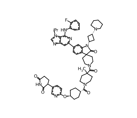 CC(C)n1cnc2cc(-c3ccc4c(c3)N([C@H]3C[C@@H](N5CCCCC5)C3)C(=O)C43CCN(C(=O)C4(C)CCN(C(=O)[C@H]5CC[C@H](Oc6ccc(C7CCC(=O)NC7=O)cn6)CC5)CC4)CC3)nc(Nc3ccccc3F)c21